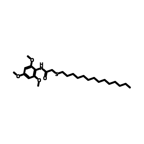 CCCCCCCCCCCCCCSCC(=O)Nc1c(OC)cc(OC)cc1OC